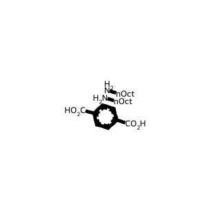 CCCCCCCCN.CCCCCCCCN.O=C(O)c1ccc(C(=O)O)cc1